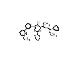 C=C/C(=C\C=C(/C)C1N=C(C2CCCCC2)N=C(c2cccc(-c3cccc(C)n3)c2)CN1)c1ccccc1